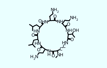 CNC1CCNC(=O)C(C(C)O)NC(=O)C(CCN)NC(=O)C(CCN)NC(=O)C(CC(C)C)NC(=O)C(CC(C)C)NC(=O)C(CCN)NC1=O